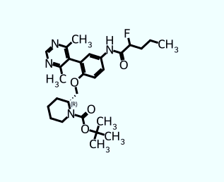 CCCC(F)C(=O)Nc1ccc(OC[C@H]2CCCCN2C(=O)OC(C)(C)C)c(-c2c(C)ncnc2C)c1